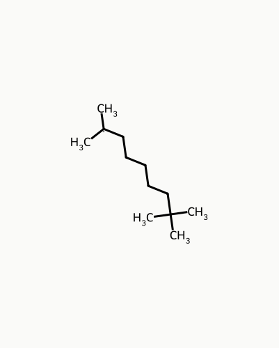 C[C](C)CCCCCC(C)(C)C